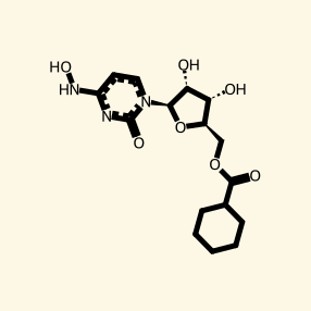 O=C(OC[C@H]1O[C@@H](n2ccc(NO)nc2=O)[C@H](O)[C@@H]1O)C1CCCCC1